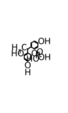 CC(c1ccc(O)cc1)c1c(O)cc(O)cc1OP(=O)(O)O